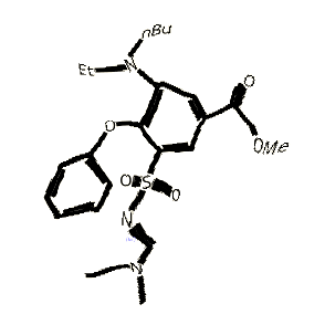 CCCCN(CC)c1cc(C(=O)OC)cc(S(=O)(=O)/N=C/N(C)C)c1Oc1ccccc1